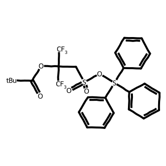 CC(C)(C)C(=O)OC(CS(=O)(=O)OS(c1ccccc1)(c1ccccc1)c1ccccc1)(C(F)(F)F)C(F)(F)F